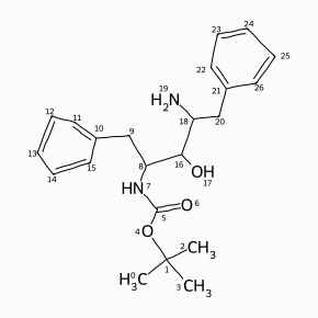 CC(C)(C)OC(=O)NC(Cc1ccccc1)C(O)C(N)Cc1ccccc1